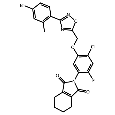 Cc1cc(Br)ccc1-c1noc(COc2cc(N3C(=O)C4=C(CCCC4)C3=O)c(F)cc2Cl)n1